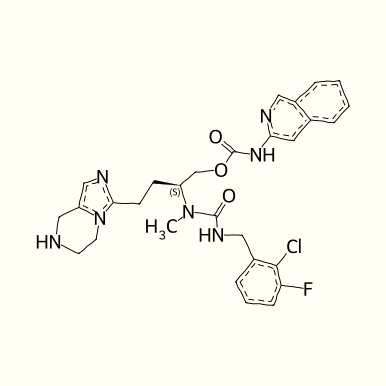 CN(C(=O)NCc1cccc(F)c1Cl)[C@@H](CCc1ncc2n1CCNC2)COC(=O)Nc1cc2ccccc2cn1